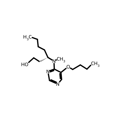 CCCCOc1cncnc1N(C)[C@H](CCO)CCCC